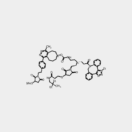 CCn1nnc2c1-c1ccccc1N(C(=O)CC[C@@H](CCNC(=O)O[C@H]1CCCc3c(-c4ccc(CCN5C(=O)CC(SC)C5=O)cc4)nnc(C)c3CC1)CCN1C(=O)CC(SCCC(=O)NCC(C)(CC)CC)C1=O)Cc1ccccc1-2